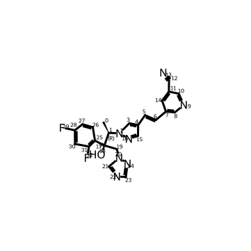 C[C@@H](n1cc(C=Cc2cncc(C#N)c2)cn1)[C@](O)(Cn1cncn1)c1ccc(F)cc1F